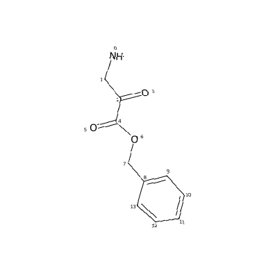 [NH]CC(=O)C(=O)OCc1ccccc1